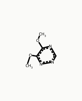 COc1ncnnc1OC